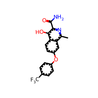 Cc1nc(C(N)=O)c(O)c2ccc(Oc3ccc(C(F)(F)F)cc3)cc12